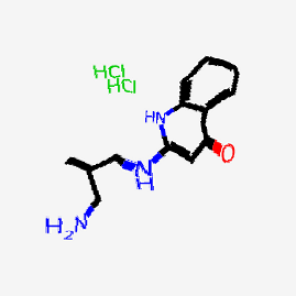 C=C(CN)CNc1cc(=O)c2ccccc2[nH]1.Cl.Cl